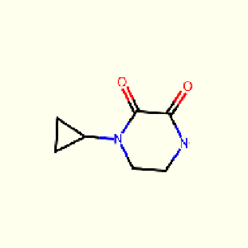 O=C1[N]CCN(C2CC2)C1=O